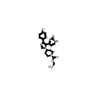 CCOC(=O)N1CCC(n2cnc(-c3ccc(F)cc3)c2-c2cc[nH]c(=S)n2)CC1